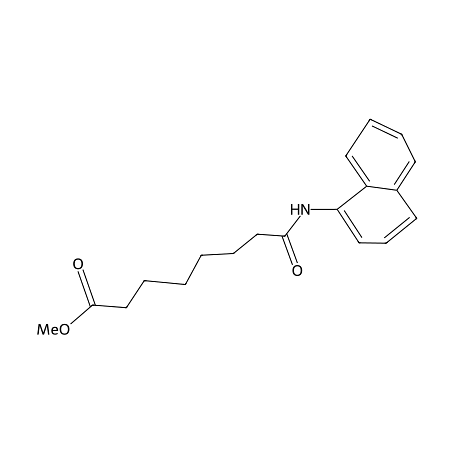 COC(=O)CCCCCCC(=O)Nc1cccc2ccccc12